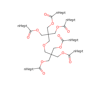 CCCCCCCC(=O)OCC(COCC(COC(=O)CCCCCCC)(COC(=O)CCCCCCC)COC(=O)CCCCCCC)(COC(=O)CCCCCCC)COC(=O)CCCCCCC